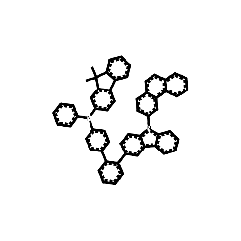 CC1(C)c2ccccc2-c2ccc(N(c3ccccc3)c3ccc(-c4ccccc4-c4ccc5c(c4)c4ccccc4n5-c4ccc5ccc6ccccc6c5c4)cc3)cc21